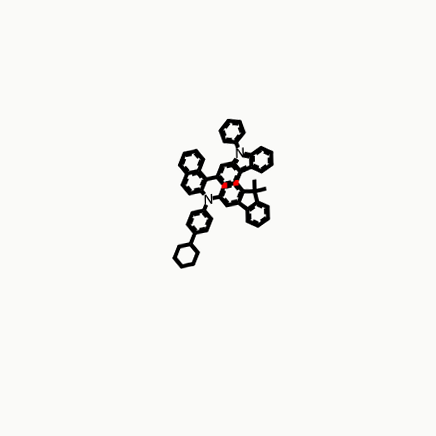 CC1(C)c2ccccc2-c2cc(N(c3ccc(C4CCCCC4)cc3)c3ccc4ccccc4c3-c3ccc4c5ccccc5n(-c5ccccc5)c4c3)ccc21